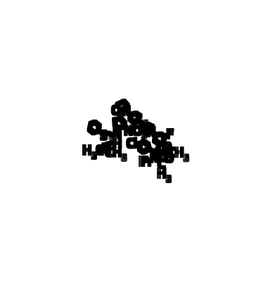 Cc1c(S(C)(=O)=O)c(-c2cc(F)cc(N3CCN(c4ccc(N5CCCO[P@@]5c5ccc(N[C@H](CCN(C)C)CSc6ccccc6)c([N+](=O)[O-])c5)cc4)CC3)c2)c(-c2ccc(Cl)cc2)n1C(C)C